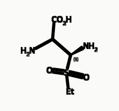 CCS(=O)(=O)[C@H](N)C(N)C(=O)O